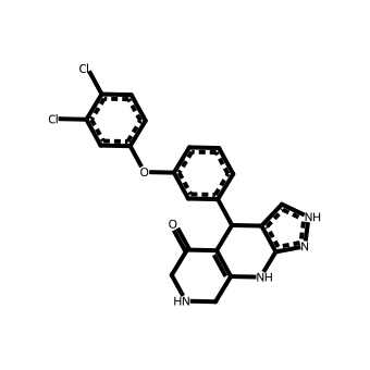 O=C1CNCC2=C1C(c1cccc(Oc3ccc(Cl)c(Cl)c3)c1)c1c[nH]nc1N2